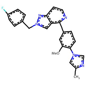 COc1cc(-c2nccc3nn(Cc4ccc(F)cc4)cc23)ccc1-n1cnc(C)c1